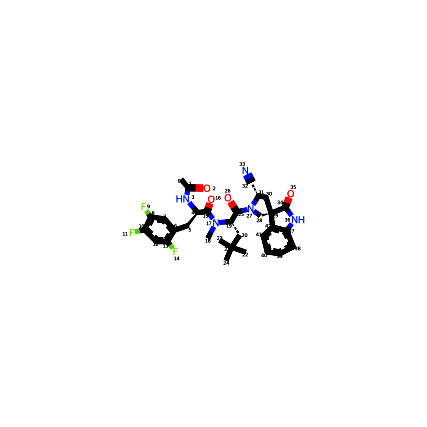 CC(=O)N[C@H](Cc1cc(F)c(F)cc1F)C(=O)N(C)[C@@H](CC(C)(C)C)C(=O)N1C[C@]2(C[C@H]1C#N)C(=O)Nc1ccccc12